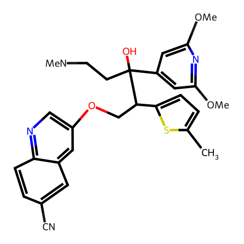 CNCCC(O)(c1cc(OC)nc(OC)c1)C(COc1cnc2ccc(C#N)cc2c1)c1ccc(C)s1